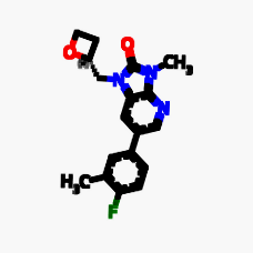 Cc1cc(-c2cnc3c(c2)n(C[C@H]2CCO2)c(=O)n3C)ccc1F